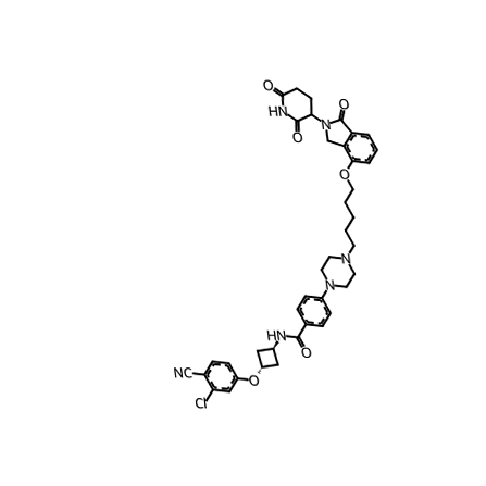 N#Cc1ccc(O[C@H]2C[C@H](NC(=O)c3ccc(N4CCN(CCCCCOc5cccc6c5CN(C5CCC(=O)NC5=O)C6=O)CC4)cc3)C2)cc1Cl